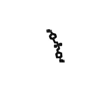 CC(C)(C)c1ccc(C=CS(=O)(=O)C=Cc2ccc(C(C)(C)C)cc2)cc1